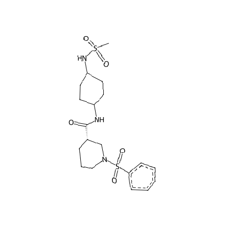 CS(=O)(=O)NC1CCC(NC(=O)[C@H]2CCCN(S(=O)(=O)c3ccccc3)C2)CC1